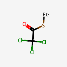 C[CH]SC(=O)C(Cl)(Cl)Cl